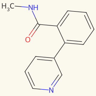 CNC(=O)c1ccccc1-c1cccnc1